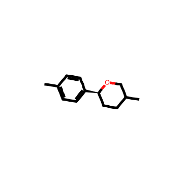 Cc1ccc([C@@H]2CCC(C)CO2)cc1